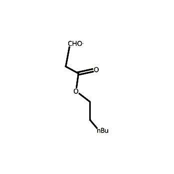 CCCCCCOC(=O)C[C]=O